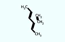 C=C.CC=CC=CC